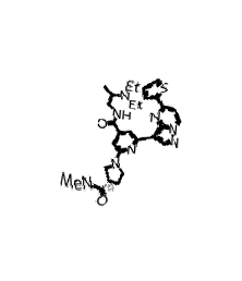 CCN(CC)C(C)CNC(=O)c1cc(-c2cnn3ccc(-c4cccs4)nc23)nc(N2CC[C@H](C(=O)NC)C2)c1